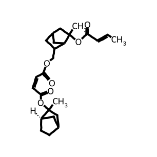 C/C=C/C(=O)OC1(C)CC2CC(COC(=O)/C=C\C(=O)OC3(C)CC4CC[C@@H]3C4)C1C2